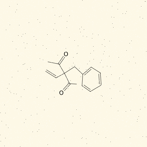 C=CC(Cc1ccccc1)(C(C)=O)C(C)=O